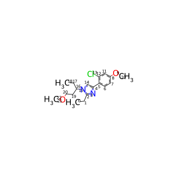 CCc1nc(-c2ccc(OC)cc2Cl)cn1C(CC)CCOC